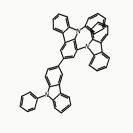 c1ccc(-n2c3ccccc3c3cc(-c4cc(-n5c6ccccc6c6ccccc65)c5c(c4)c4ccccc4n5-c4ccccc4)ccc32)cc1